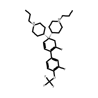 CCC[Si@H]1CC[C@H](C2([C@H]3CC[Si@H](CCC)CC3)C=CC(c3ccc(OC(F)(F)F)c(F)c3)=C(F)C2)CC1